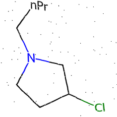 CCCCN1CCC(Cl)C1